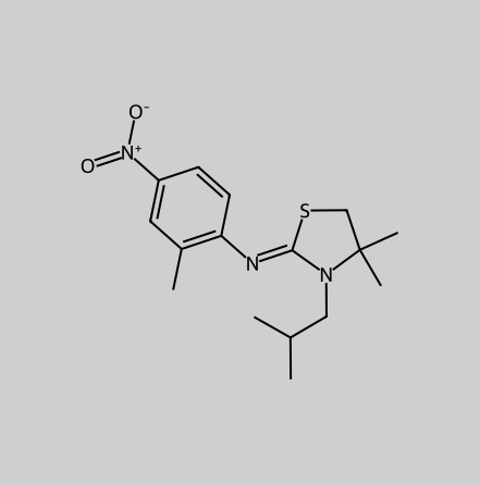 Cc1cc([N+](=O)[O-])ccc1N=C1SCC(C)(C)N1CC(C)C